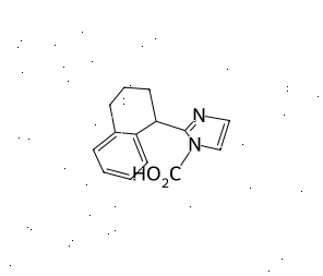 O=C(O)n1ccnc1C1CCCc2ccccc21